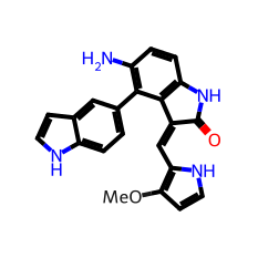 COc1cc[nH]c1/C=C1\C(=O)Nc2ccc(N)c(-c3ccc4[nH]ccc4c3)c21